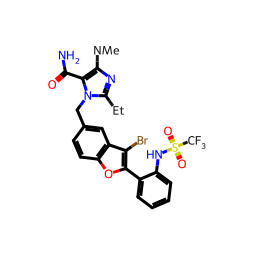 CCc1nc(NC)c(C(N)=O)n1Cc1ccc2oc(-c3ccccc3NS(=O)(=O)C(F)(F)F)c(Br)c2c1